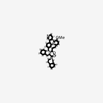 COc1ccc(C=CC(=O)N(Cc2ccc(-c3cccnn3)cc2)C(Cc2ccccc2)C(=O)N2CCc3ccccc3C2)nn1